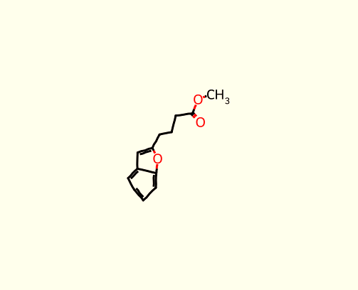 COC(=O)CCCc1cc2ccccc2o1